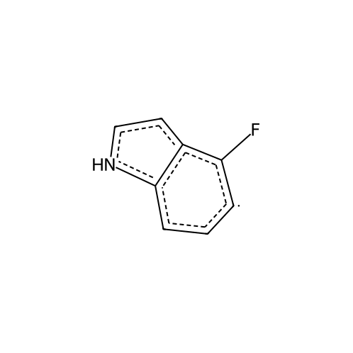 Fc1[c]ccc2[nH]ccc12